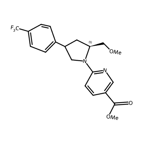 COC[C@@H]1CC(c2ccc(C(F)(F)F)cc2)CN1c1ccc(C(=O)OC)cn1